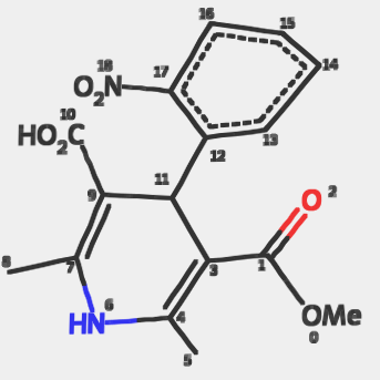 COC(=O)C1=C(C)NC(C)=C(C(=O)O)C1c1ccccc1[N+](=O)[O-]